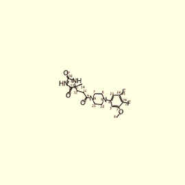 COc1cc(N2CCN(C(=O)CC[C@@]3(C)NC(=O)NC3=O)CC2)cc(F)c1F